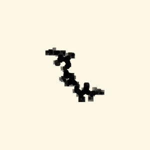 CCCCNC(=O)C(CC)CSc1nnc(SCC(CC)C(=O)NCCCC)s1